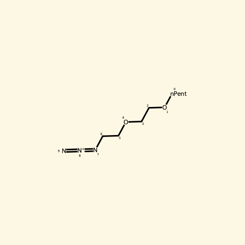 CCCCCOCCOCCN=[N+]=[N-]